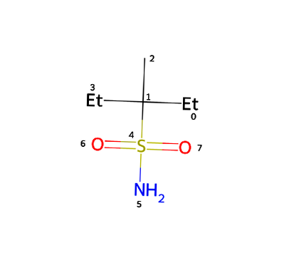 CCC(C)(CC)S(N)(=O)=O